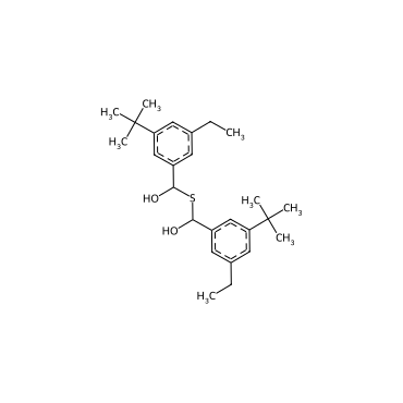 CCc1cc(C(O)SC(O)c2cc(CC)cc(C(C)(C)C)c2)cc(C(C)(C)C)c1